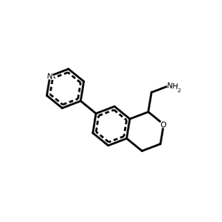 NCC1OCCc2ccc(-c3ccncc3)cc21